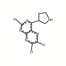 Clc1nc(C2CCNC2)c2nc(Cl)c(Cl)nc2n1